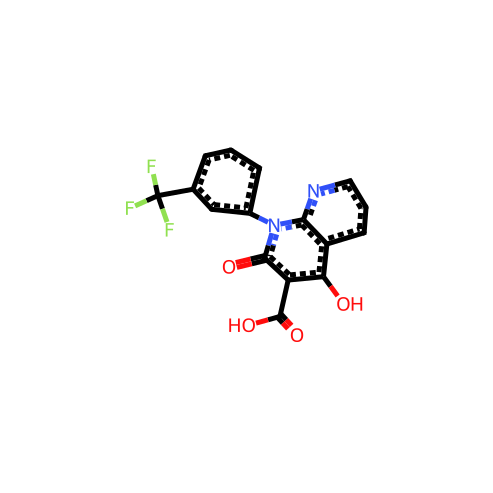 O=C(O)c1c(O)c2cccnc2n(-c2cccc(C(F)(F)F)c2)c1=O